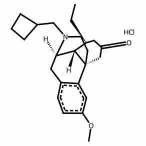 CC[C@H]1CC(=O)C[C@]23CCN(CC4CCC4)[C@H](Cc4ccc(OC)cc42)[C@H]13.Cl